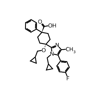 Cc1nc([C@]2(OCC3CC3)CC[C@@](C(=O)O)(c3ccccc3)CC2)n(CC2CC2)c1-c1ccc(F)cc1